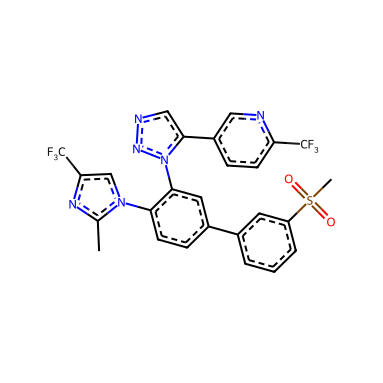 Cc1nc(C(F)(F)F)cn1-c1ccc(-c2cccc(S(C)(=O)=O)c2)cc1-n1nncc1-c1ccc(C(F)(F)F)nc1